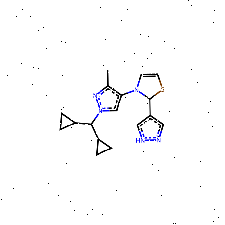 Cc1nn(C(C2CC2)C2CC2)cc1N1C=CSC1c1cn[nH]c1